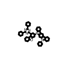 c1ccc(-c2nc(-c3ccccc3)nc(-c3cc(-n4c5ccccc5c5cc6c7ccccc7n(-c7ccccc7)c6cc54)cc4oc5ccccc5c34)n2)cc1